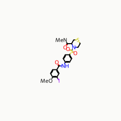 CNC(=O)C1CSCCN1S(=O)(=O)c1ccc(NC(=O)c2ccc(OC)c(I)c2)cc1